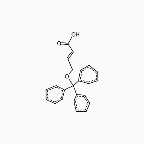 O=C(O)C=CCOC(c1ccccc1)(c1ccccc1)c1ccccc1